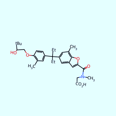 CCC(CC)(c1ccc(OCC(O)C(C)(C)C)c(C)c1)c1cc(C)c2oc(C(=O)N(C)CC(=O)O)cc2c1